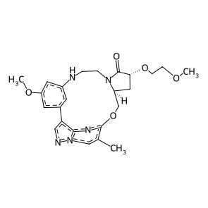 COCCO[C@@H]1C[C@H]2COc3nc4c(cnn4cc3C)-c3cc(cc(OC)c3)NCCN2C1=O